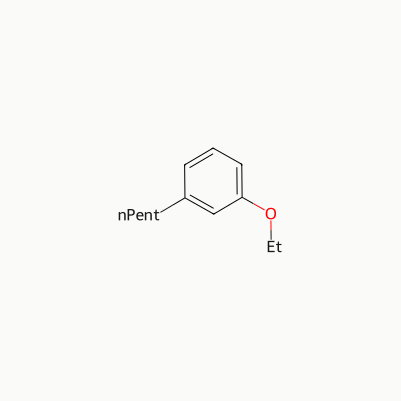 CCCCCc1cccc(OCC)c1